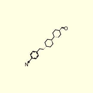 N#Cc1ccc(CC[C@H]2CC[C@H]([C@H]3CC[C@H](C=O)CC3)CC2)cc1